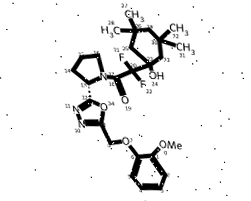 COc1ccccc1OCc1nnc([C@@H]2CCCN2C(=O)C(F)(F)C2(O)CC(C)(C)CC(C)(C)C2)o1